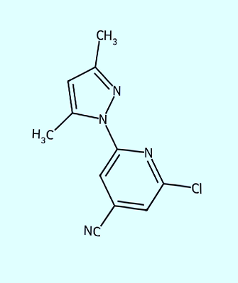 Cc1cc(C)n(-c2cc(C#N)cc(Cl)n2)n1